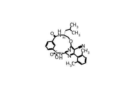 Cc1cccc(C)c1-c1nc2nc(c1C#N)OC[C@@H](CC(C)C)NC(=O)c1cccc(c1)S(=O)(=O)N2